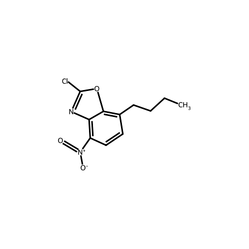 CCCCc1ccc([N+](=O)[O-])c2nc(Cl)oc12